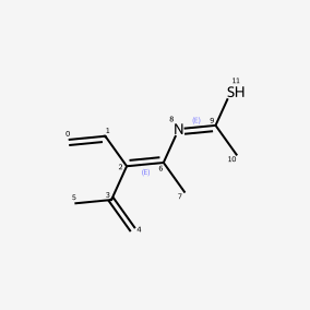 C=C/C(C(=C)C)=C(C)\N=C(/C)S